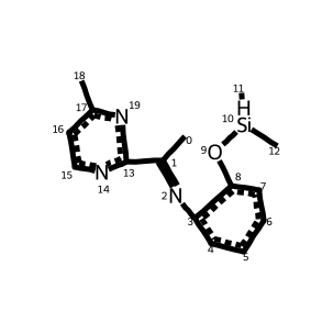 CC(=Nc1ccccc1O[SiH](C)C)c1nccc(C)n1